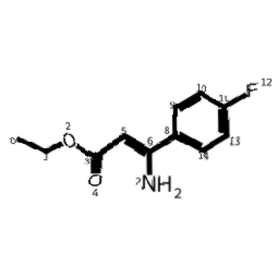 CCOC(=O)C=C(N)c1ccc(F)cc1